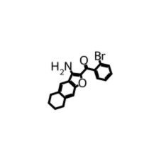 Nc1c(C(=O)c2ccccc2Br)oc2cc3c(cc12)CCCC3